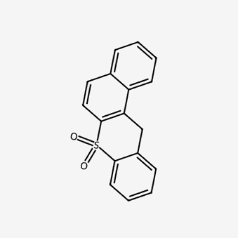 O=S1(=O)c2ccccc2Cc2c1ccc1ccccc21